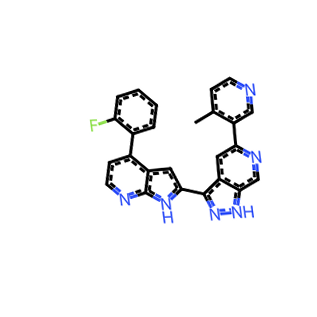 Cc1ccncc1-c1cc2c(-c3cc4c(-c5ccccc5F)ccnc4[nH]3)n[nH]c2cn1